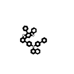 C1=Cc2c(cccc2N(c2ccc(-c3ccccc3)cc2)c2ccc(-c3cccc4oc5c(-c6ccccc6)c6c7c(oc6cc5c34)CCC=C7)cc2)CC1